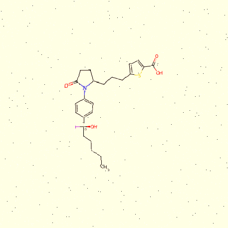 CCCCC[C@](O)(I)c1ccc(N2C(=O)CCC2CCCc2ccc(C(=O)O)s2)cc1